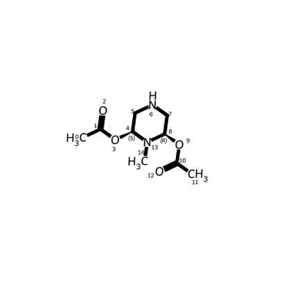 CC(=O)O[C@H]1CNC[C@@H](OC(C)=O)N1C